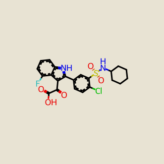 O=C(O)C(=O)c1c(-c2ccc(Cl)c(S(=O)(=O)NC3CCCCC3)c2)[nH]c2cccc(F)c12